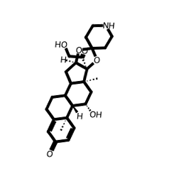 C[C@]12C=CC(=O)C=C1CCC1C3C[C@H]4OC5(CCNCC5)O[C@@]4(C(=O)CO)[C@@]3(C)C[C@H](O)[C@@H]12